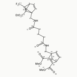 CCOC(=O)C1=C(C(F)(F)F)C2C=CC1(CNC(=O)CCCC(=O)NCC13C=CC(O1)C(C(=O)OC)=C3C(=O)OC)O2